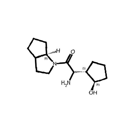 NC(C(=O)N1CCC2CCC[C@H]21)[C@@H]1CCC[C@H]1O